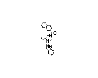 O=C1CN(C(=O)c2ccc3ccccc3c2)CCN1Cn1cc2ccccc2n1